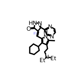 CCN(CC)CCc1c(C)[nH]c(/C=C2/C(=O)NN=C2c2cnccn2)c1C1CCCCC1